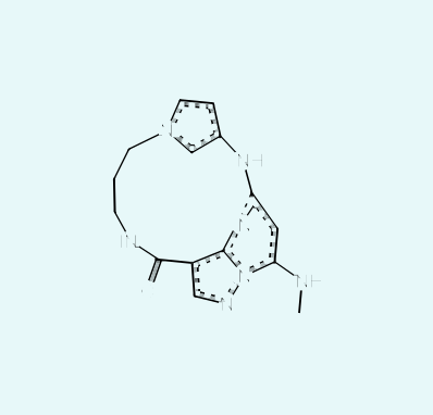 CNc1cc2nc3c(cnn13)C(=O)NCCCn1ccc(c1)N2